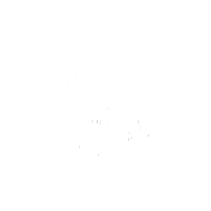 CC(C)(C)OC(=O)NC[C@@H](NC(=O)OCc1ccccc1)C(c1ccccc1)c1ccccc1